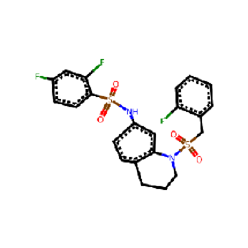 O=S(=O)(Nc1ccc2c(c1)N(S(=O)(=O)Cc1ccccc1F)CCC2)c1ccc(F)cc1F